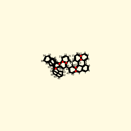 c1ccc(-c2cccc3cccc(-c4ccccc4N(c4cccc(-c5cccc6c5sc5ccccc56)c4)c4ccccc4-c4ccc5c(c4)C4(c6ccccc6-5)C5CC6CC5CC64)c23)cc1